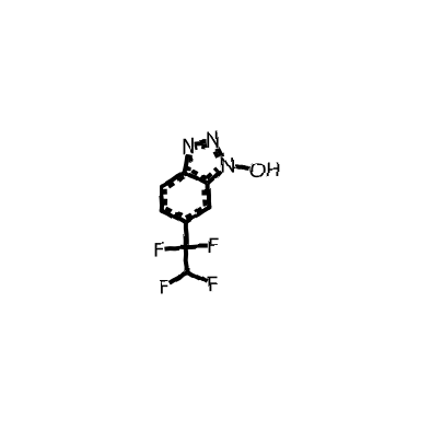 On1nnc2ccc(C(F)(F)C(F)F)cc21